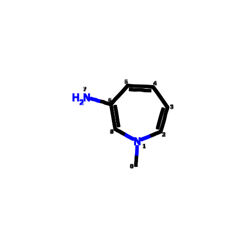 CN1C=CC=CC(N)=C1